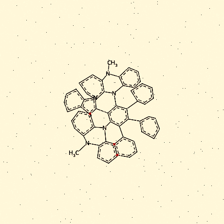 CN1c2ccccc2N(c2c(-c3ccccc3)c(-c3ccccc3)c(-c3ccccc3)c(N3c4ccccc4N(C)c4ccccc43)c2-c2nc3ccccc3s2)c2ccccc21